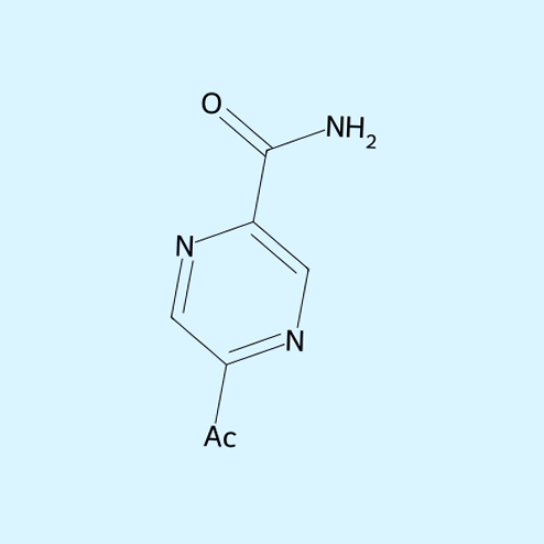 CC(=O)c1cnc(C(N)=O)cn1